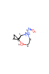 O=NN1CCOC2(CC2)C1